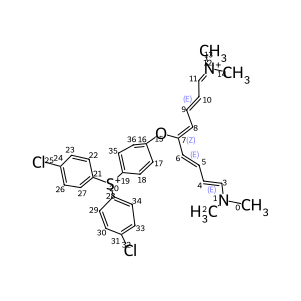 CN(C)/C=C/C=C/C(=C/C=C/C=[N+](C)C)Oc1ccc([S+](c2ccc(Cl)cc2)c2ccc(Cl)cc2)cc1